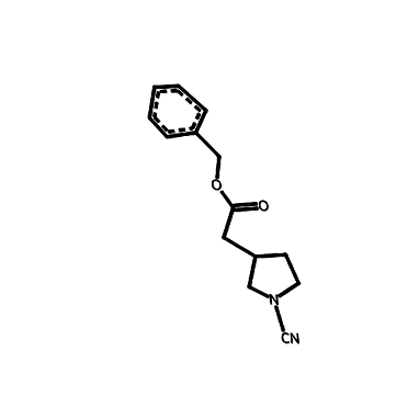 N#CN1CCC(CC(=O)OCc2ccccc2)C1